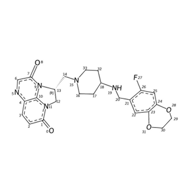 O=c1ccc2ncc(=O)n3c2n1C[C@H]3CN1CCC(NCc2cc3c(cc2F)OCCO3)CC1